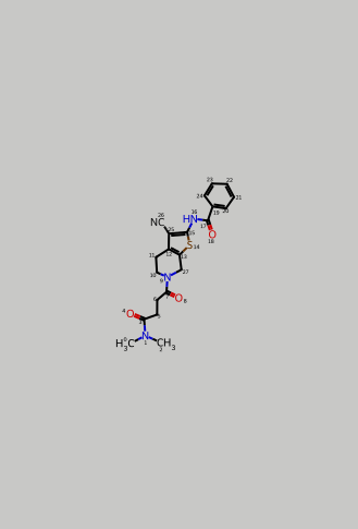 CN(C)C(=O)CCC(=O)N1CCc2c(sc(NC(=O)c3ccccc3)c2C#N)C1